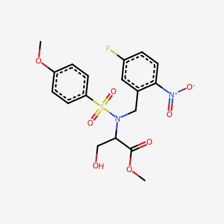 COC(=O)C(CO)N(Cc1cc(F)ccc1[N+](=O)[O-])S(=O)(=O)c1ccc(OC)cc1